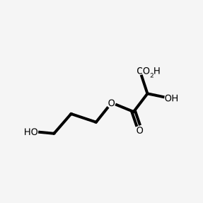 O=C(O)C(O)C(=O)OCCCO